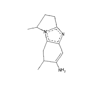 CC1Cc2c(nc3n2C(C)CC3)C=C1N